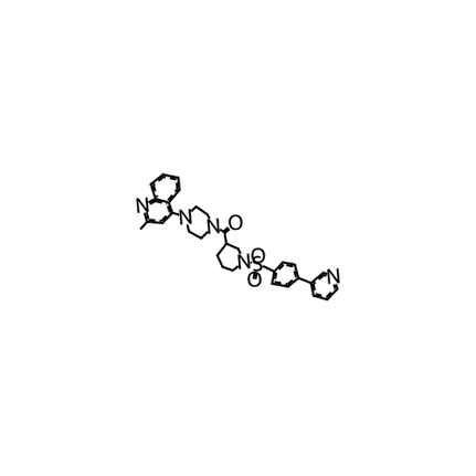 Cc1cc(N2CCN(C(=O)C3CCCN(S(=O)(=O)c4ccc(-c5cccnc5)cc4)C3)CC2)c2ccccc2n1